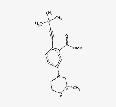 COC(=O)c1cc(N2CCN[C@@H](C)C2)ccc1C#C[Si](C)(C)C